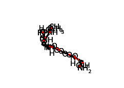 CC(C)(C)OC(=O)NCCCCC(NC(=O)c1cccc(-n2cc(CNC(=O)CCOCCOCCOCCOCCNC(=O)CCCC[C@H]3CC[C@H](NC(N)=O)S3)nn2)c1)C(=O)COc1c(F)cccc1F